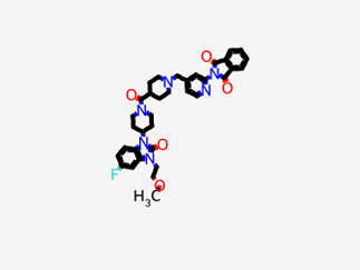 COCCn1c(=O)n(C2CCN(C(=O)C3CCN(Cc4ccnc(N5C(=O)c6ccccc6C5=O)c4)CC3)CC2)c2ccc(F)cc21